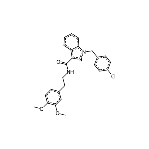 COc1ccc(CCNC(=O)c2nn(Cc3ccc(Cl)cc3)c3ccccc23)cc1OC